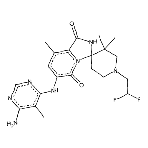 Cc1cc(Nc2ncnc(N)c2C)c(=O)n2c1C(=O)NC21CCN(CC(F)F)CC1(C)C